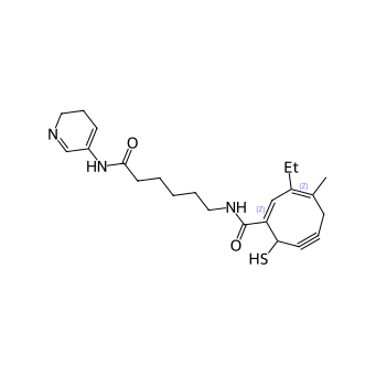 CCC1=C(\C)CC#CC(S)/C(C(=O)NCCCCCC(=O)NC2=CCCN=C2)=C\1